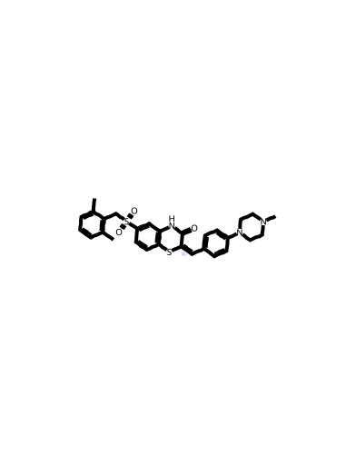 Cc1cccc(C)c1CS(=O)(=O)c1ccc2c(c1)NC(=O)/C(=C\c1ccc(N3CCN(C)CC3)cc1)S2